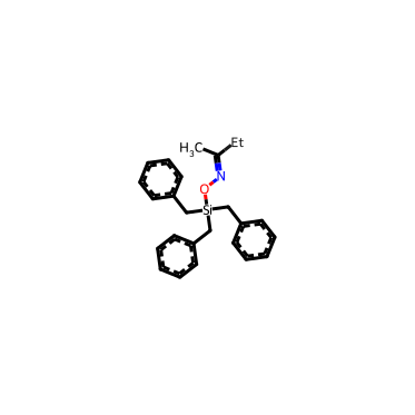 CC/C(C)=N/O[Si](Cc1ccccc1)(Cc1ccccc1)Cc1ccccc1